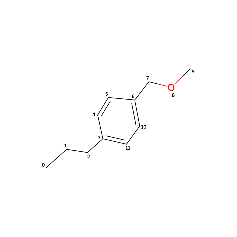 CCCc1ccc(COC)cc1